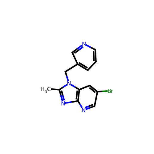 Cc1nc2ncc(Br)cc2n1Cc1cccnc1